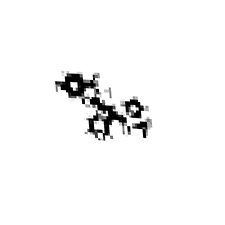 C[C@@H](NC(=O)c1cc(C(=O)N2CCC[C@@H]2C(F)(F)F)c2n1CCOC2)c1ccc(F)cc1